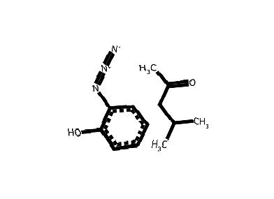 CC(=O)CC(C)C.[N-]=[N+]=Nc1ccccc1O